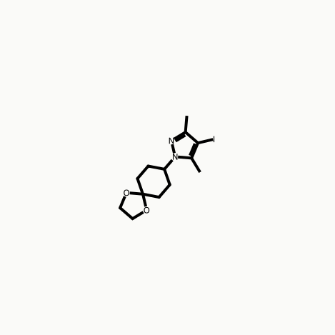 Cc1nn(C2CCC3(CC2)OCCO3)c(C)c1I